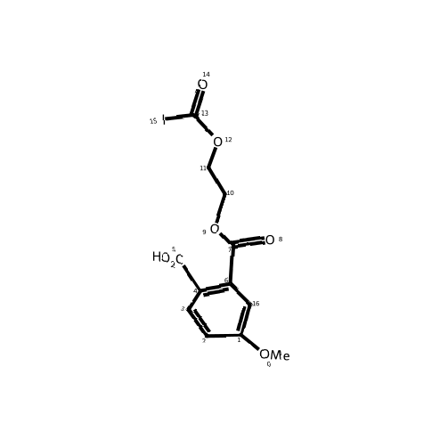 COc1ccc(C(=O)O)c(C(=O)OCCOC(=O)I)c1